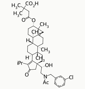 CC(=O)N(Cc1cccc(Cl)c1)C[C@@H](O)[C@@]12CC[C@]3(C)[C@H](CC[C@@H]4[C@@]5(C)CC[C@H](OC(=O)CC(C)(C)C(=O)O)C6(C)C[C@]65CC[C@]43C)C1=C(C(C)C)C(=O)C2